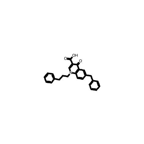 O=C(O)c1cn(CCCc2ccccc2)c2ccc(Cc3ccccc3)cc2c1=O